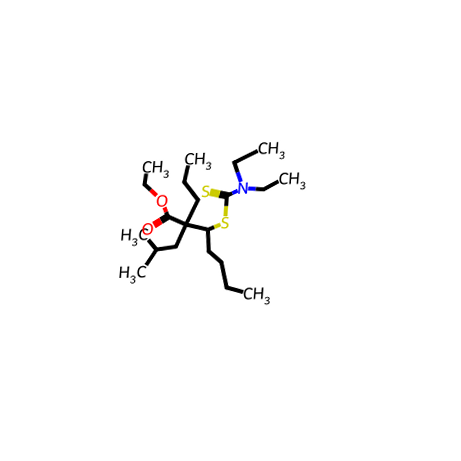 CCCCC(SC(=S)N(CC)CC)C(CCC)(CC(C)C)C(=O)OCC